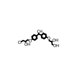 C=C(c1ccc(OC[C@H](O)CO)cc1)c1ccc(OC[C@H](O)CCl)cc1